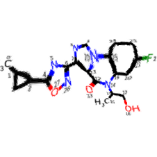 CC1CC1c1nc(-c2ncn3c2c(=O)n(C(C)CO)c2cc(F)ccc23)no1